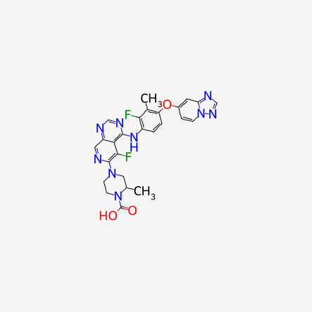 Cc1c(Oc2ccn3ncnc3c2)ccc(Nc2ncnc3cnc(N4CCN(C(=O)O)C(C)C4)c(F)c23)c1F